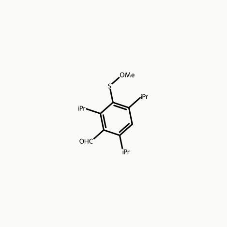 COSc1c(C(C)C)cc(C(C)C)c(C=O)c1C(C)C